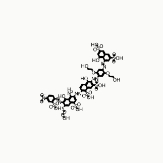 Nc1c(N=Nc2ccc3c(O)c(N=Nc4cc(OCCO)c(N=Nc5cc(S(=O)(=O)O)cc6cc(S(=O)(=O)O)cc(O)c56)cc4OCCO)c(S(=O)(=O)O)cc3c2S(=O)(=O)O)cc(S(=O)(=O)O)c2cc(SOOO)c(N=Nc3ccc([N+](=O)[O-])cc3S(=O)(=O)O)c(O)c12